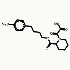 COc1ccc(CCCCOC(=O)C2CCCCN2C(=O)C(=O)C(C)(C)C)cc1